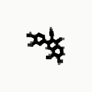 N#Cc1c(-c2ccc(O)c(O)c2)oc2c(O)c(O)ccc2c1=O